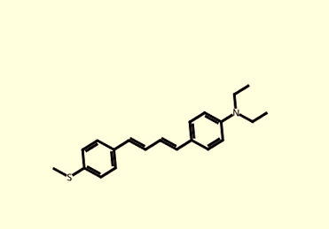 CCN(CC)c1ccc(/C=C/C=C/c2ccc(SC)cc2)cc1